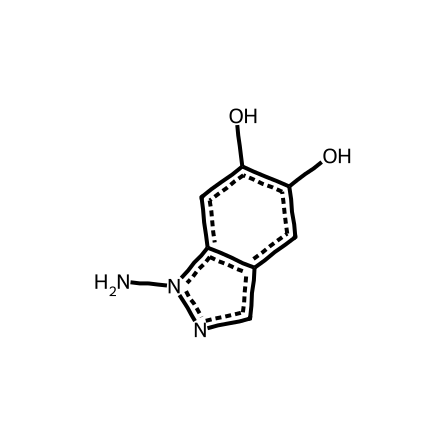 Nn1ncc2cc(O)c(O)cc21